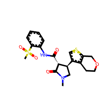 CN1C[C@H](c2csc3c2CCOC3)[C@@H](C(=O)Nc2ccccc2S(C)(=O)=O)C1=O